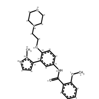 COc1ccccc1C(=O)Nc1ccc(OCCN2CCOCC2)c(-c2ccnn2C)c1